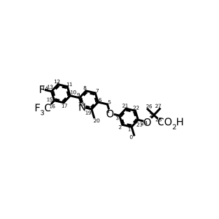 Cc1cc(OCc2ccc(-c3ccc(F)c(C(F)(F)F)c3)nc2C)ccc1OC(C)(C)C(=O)O